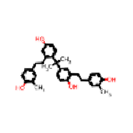 Cc1cc(CCc2cc(C(C)(C)c3ccc(O)cc3CCc3ccc(O)c(C)c3)ccc2O)ccc1O